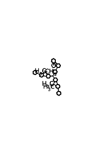 CC1(C)c2cc(-c3ccccc3)ccc2-c2ccc(C(c3ccc(-c4cccc5c4oc4ccccc45)cc3)c3ccc4c(c3)C(C)(C)c3cc(-c5ccccc5)ccc3-4)cc21